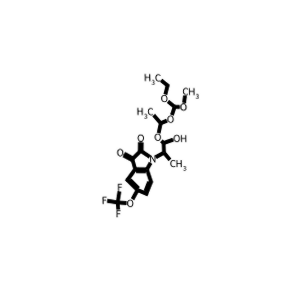 CCOC(OC)OC(C)OC(O)C(C)N1C(=O)C(=O)c2cc(OC(F)(F)F)ccc21